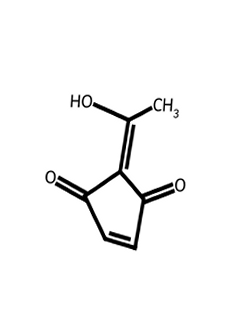 CC(O)=C1C(=O)C=CC1=O